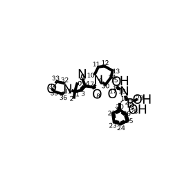 CC(C)(C=C(C#N)C(=O)N1CCCCC(OC(=O)N[C@@H](Cc2ccccc2)B(O)O)C1)N1CCOCC1